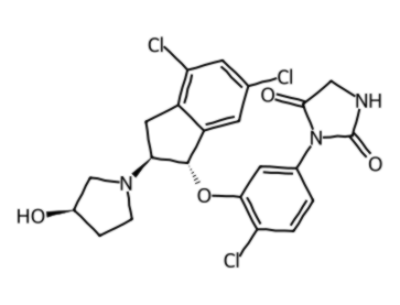 O=C1CNC(=O)N1c1ccc(Cl)c(O[C@H]2c3cc(Cl)cc(Cl)c3C[C@@H]2N2CC[C@@H](O)C2)c1